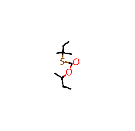 CCC(C)OC(=O)SC(C)(C)CC